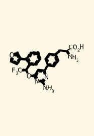 Nc1nc(OC(c2ccccc2-c2ccoc2)C(F)(F)F)cc(-c2ccc(C[C@H](N)C(=O)O)cc2)n1